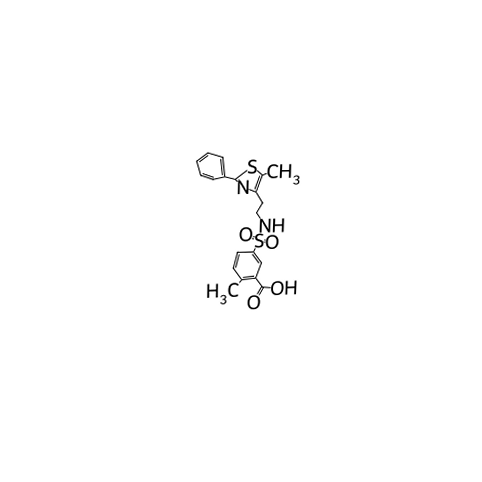 Cc1ccc(S(=O)(=O)NCCc2nc(-c3ccccc3)sc2C)cc1C(=O)O